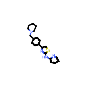 c1ccc(Nc2nc(-c3ccc(CN4CCCCC4)cc3)cs2)nc1